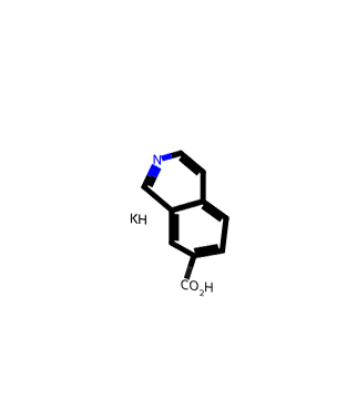 O=C(O)c1ccc2ccncc2c1.[KH]